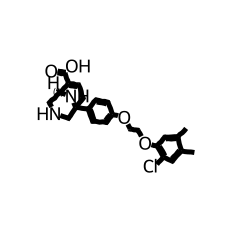 Cc1cc(Cl)c(OCCOc2ccc(C34CC=C(C(=O)O)[C@@H](CNC3)N4)cc2)cc1C